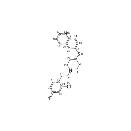 Fc1ccc(CCN2CCC(Sc3ccc4ncccc4c3)CC2)c(Cl)c1